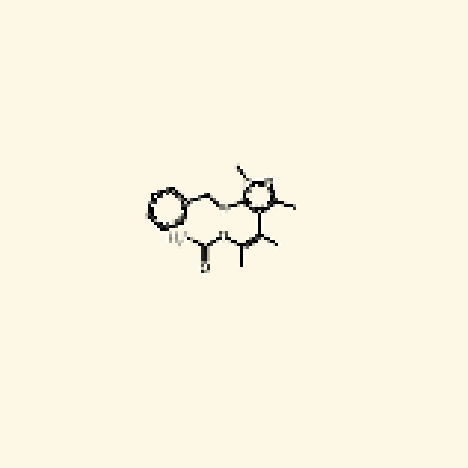 CC(OC(N)=O)=C(C)c1c(C)nn(C)c1SCc1ccccc1